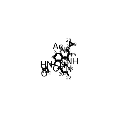 CC(=O)N1c2ccc(C(=O)NC3COC3)cc2[C@H](Nc2nccc(C)n2)[C@@H](C)[C@@H]1C1CC1